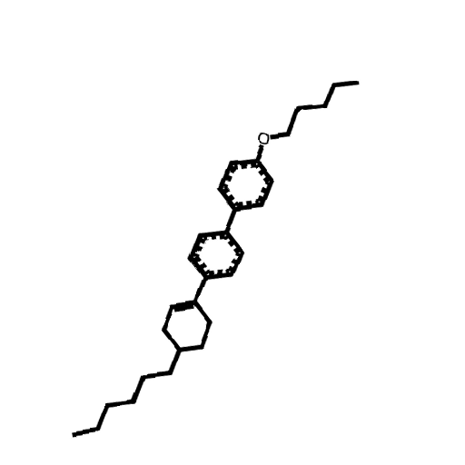 CCCCCCC1CC=C(c2ccc(-c3ccc(OCCCCC)cc3)cc2)CC1